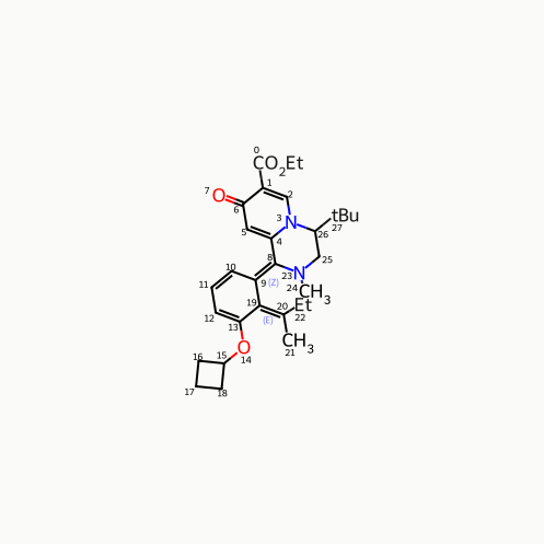 CCOC(=O)c1cn2c(cc1=O)/C(=c1\cccc(OC3CCC3)\c1=C(/C)CC)N(C)CC2C(C)(C)C